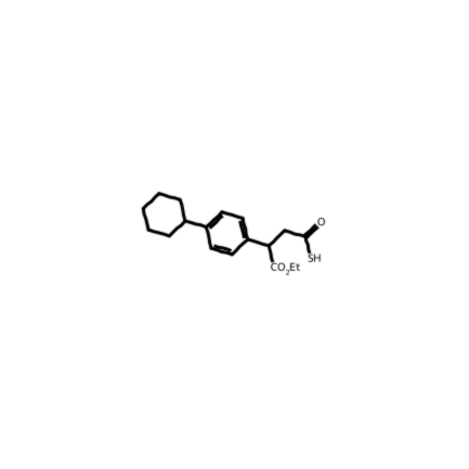 CCOC(=O)C(CC(=O)S)c1ccc(C2CCCCC2)cc1